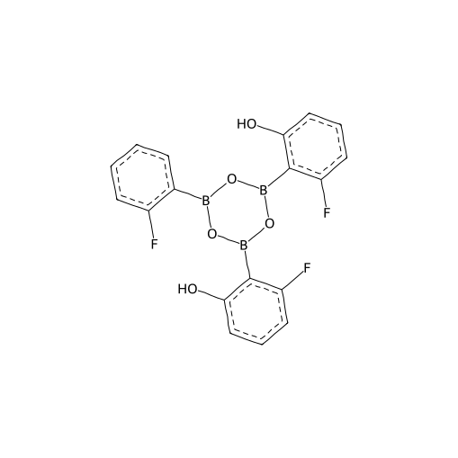 Oc1cccc(F)c1B1OB(c2ccccc2F)OB(c2c(O)cccc2F)O1